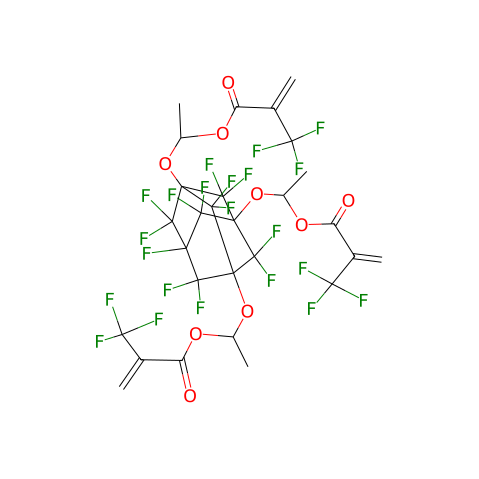 C=C(C(=O)OC(C)OC12C(F)(F)C3(F)C(F)(F)C(OC(C)OC(=O)C(=C)C(F)(F)F)(C1(F)F)C(F)(F)C(OC(C)OC(=O)C(=C)C(F)(F)F)(C3(F)F)C2(F)F)C(F)(F)F